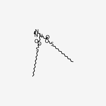 CCCCCCCCCCCCCCSCCOC(=O)CCN(CCC(=O)OCCSCCCCCCCCCCCCCC)Cc1nccn1C